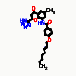 C=CCCC/C=C/COc1ccc(C(=O)Nc2cc(C)cc3c(=O)cc(-c4nnn[nH]4)oc23)cc1